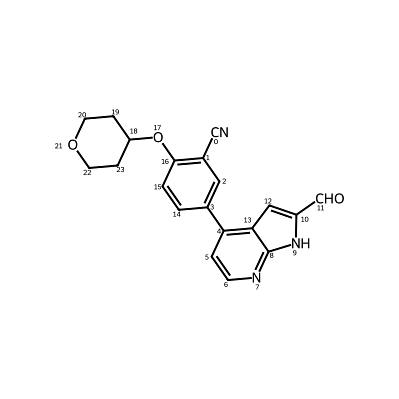 N#Cc1cc(-c2ccnc3[nH]c(C=O)cc23)ccc1OC1CCOCC1